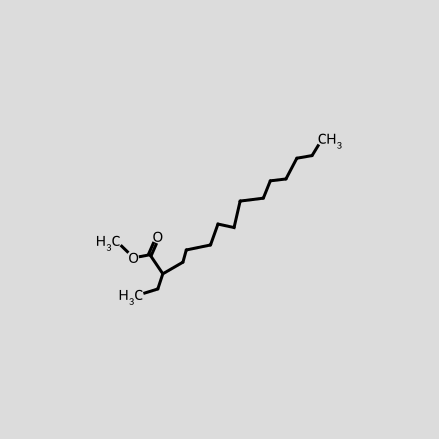 CCCCCCCCCCCCC(CC)C(=O)OC